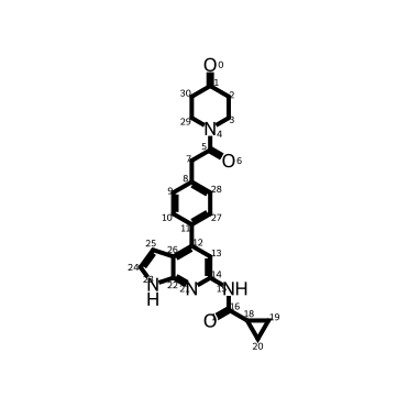 O=C1CCN(C(=O)Cc2ccc(-c3cc(NC(=O)C4CC4)nc4[nH]ccc34)cc2)CC1